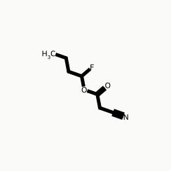 CCCC(F)OC(=O)CC#N